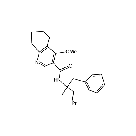 COc1c(C(=O)NC(C)(Cc2ccccc2)CC(C)C)cnc2c1CCCC2